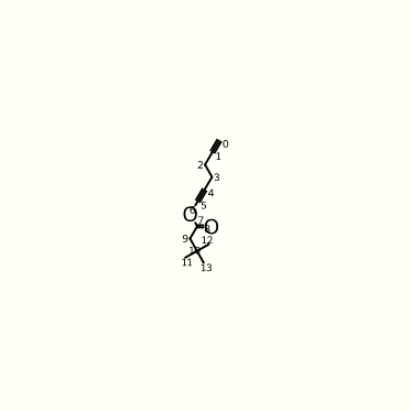 C#CCCC#COC(=O)CC(C)(C)C